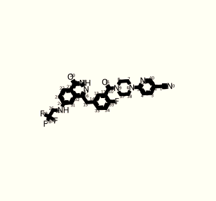 N#Cc1ccc(N2CCN(C(=O)c3cc(Cc4n[nH]c(=O)c5ccc(NCC(F)(F)F)cc45)ccc3F)CC2)nc1